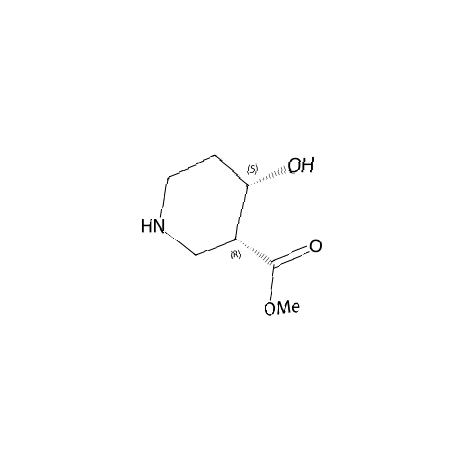 COC(=O)[C@@H]1CNCC[C@@H]1O